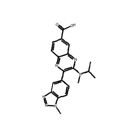 CC(C)N(C)c1nc2cc(C(=O)O)ccc2nc1-c1ccc2c(c1)nnn2C